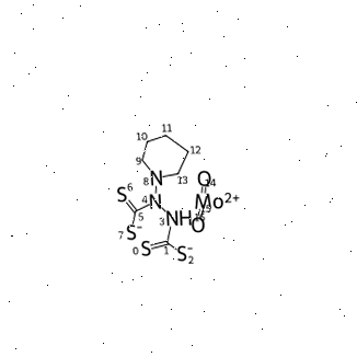 S=C([S-])NN(C(=S)[S-])N1CCCCC1.[O]=[Mo+2]=[O]